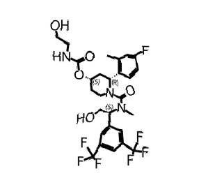 Cc1cc(F)ccc1[C@H]1C[C@@H](OC(=O)NCCO)CCN1C(=O)N(C)[C@H](CO)c1cc(C(F)(F)F)cc(C(F)(F)F)c1